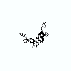 Cc1cn2nc(N[C@H]3CCN(C(=O)OC(C)(C)C)C[C@H]3F)ncc2c1Br